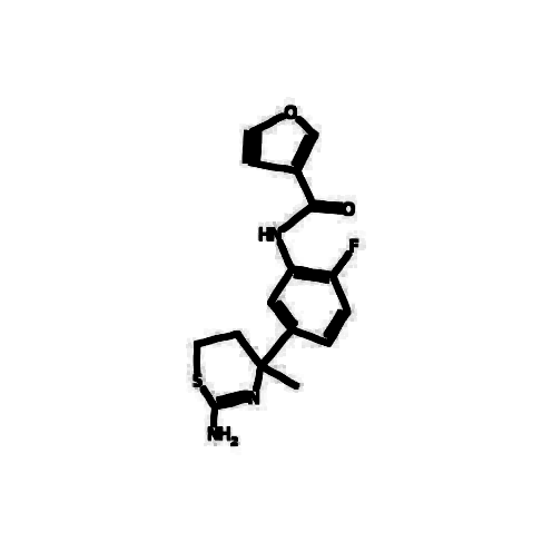 CC1(c2ccc(F)c(NC(=O)c3c#coc3)c2)CCSC(N)=N1